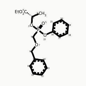 CCOC(=O)[C@H](C)OP(=O)(COCc1ccccc1)Oc1ccccc1